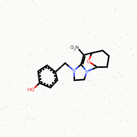 O=[N+]([O-])C1=C2N(Cc3ccc(O)cc3)CCN2C2CCCC1O2